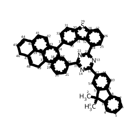 CC1(C)c2ccccc2-c2ccc(-c3nc(-c4ccccc4)nc(-c4cccc5sc6ccc(-c7ccc8c9c%10c(ccc79)C=CCC%10=CC8)cc6c45)n3)cc21